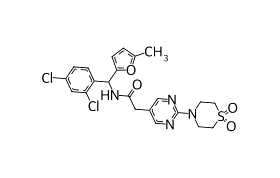 Cc1ccc(C(NC(=O)Cc2cnc(N3CCS(=O)(=O)CC3)nc2)c2ccc(Cl)cc2Cl)o1